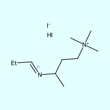 I.[CH2]C/[C]=N/C(C)CC[N+](C)(C)C.[I-]